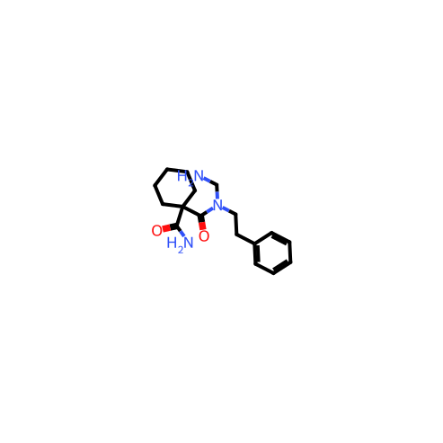 NCN(CCc1ccccc1)C(=O)C1(C(N)=O)CCCCC1